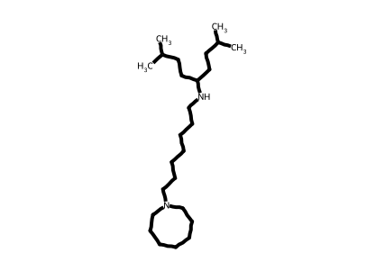 CC(C)CCC(CCC(C)C)NCCCCCCCN1CCCCCCC1